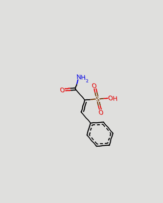 NC(=O)C(=Cc1ccccc1)S(=O)(=O)O